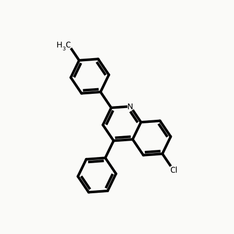 Cc1ccc(-c2cc(-c3ccccc3)c3cc(Cl)ccc3n2)cc1